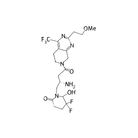 COCCc1nc2c(c(C(F)(F)F)n1)CCN(C(=O)C[C@H](N)CN1C(=O)CCC(F)(F)C1O)C2